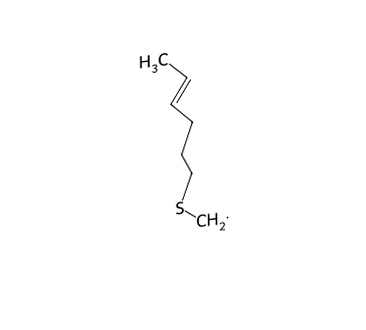 [CH2]SCCC/C=C/C